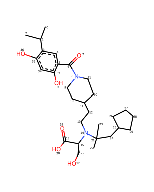 CC(C)c1cc(C(=O)N2CCC(CCN([C@@H](CO)C(=O)O)C(C)(C)CC3CCCC3)CC2)c(O)cc1O